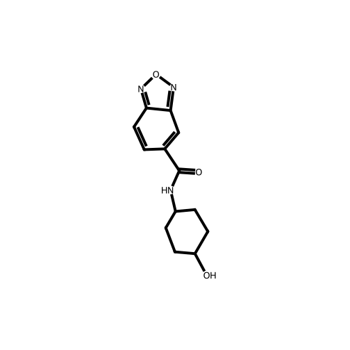 O=C(NC1CCC(O)CC1)c1ccc2nonc2c1